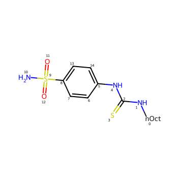 [CH2]CCCCCCCNC(=S)Nc1ccc(S(N)(=O)=O)cc1